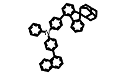 c1ccc(N(c2ccc(-c3cccc4c3-c3ccccc3C43C4CC5CC(C4)CC3C5)cc2)c2ccc(-c3cccc4ccccc34)cc2)cc1